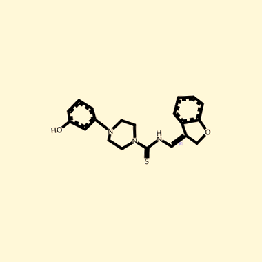 Oc1cccc(N2CCN(C(=S)N/C=C3/COc4ccccc43)CC2)c1